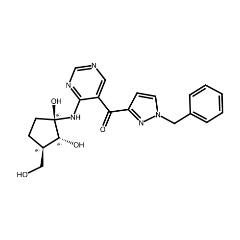 O=C(c1ccn(Cc2ccccc2)n1)c1cncnc1N[C@@]1(O)CC[C@H](CO)[C@H]1O